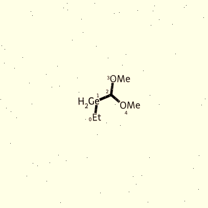 [CH2][CH2][GeH2][CH](OC)OC